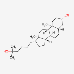 CC(C)(O)CCCC[C@H]1CC[C@H]2[C@@H]3CC[C@H]4C[C@@H](O)CC[C@]4(C)[C@H]3CC[C@]12C